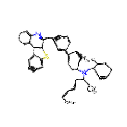 CCC/C=C\C=CC(C)N(C1C=CC(c2cccc(C3=NC4=CCCC=C4C4c5ccccc5SC34)c2)=CC1)C1C=CCCC1C